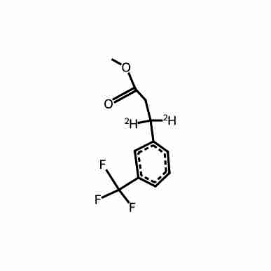 [2H]C([2H])(CC(=O)OC)c1cccc(C(F)(F)F)c1